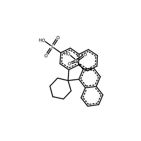 O=S(=O)(O)c1cc(C2(c3c(S(=O)(=O)O)ccc4ccccc34)CCCCC2)c2ccccc2c1